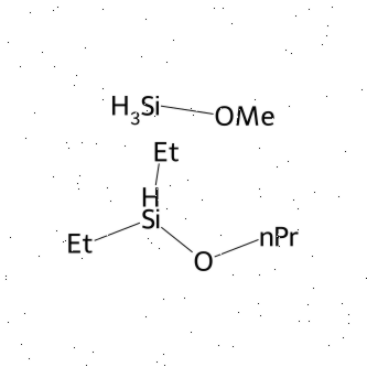 CCCO[SiH](CC)CC.CO[SiH3]